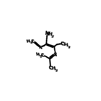 C=N/C(N)=C(/C)N=C(C)C